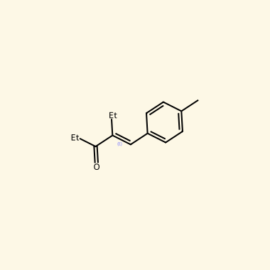 CCC(=O)/C(=C/c1ccc(C)cc1)CC